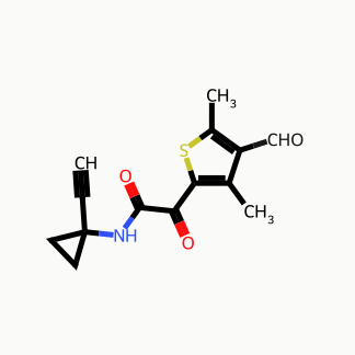 C#CC1(NC(=O)C(=O)c2sc(C)c(C=O)c2C)CC1